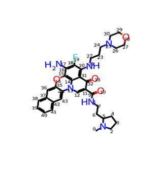 CN1CCCC1CCNC(=O)c1cn2c3c(c(N)c(F)c(NCCCN4CCOCC4)c3c1=O)Oc1cc3ccccc3cc1-2